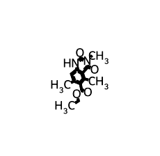 CCOC(=O)c1c(C)cc2[nH]c(=O)n(C)c(=O)c2c1C